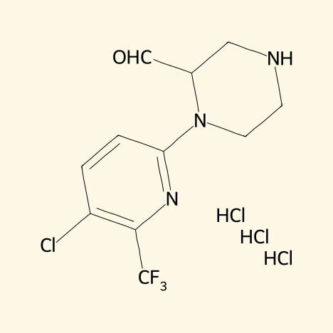 Cl.Cl.Cl.O=CC1CNCCN1c1ccc(Cl)c(C(F)(F)F)n1